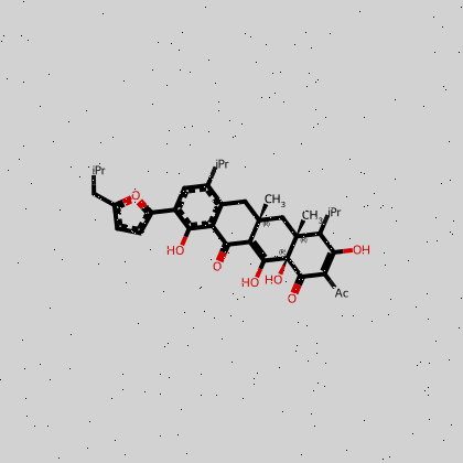 CC(=O)C1=C(O)C(C(C)C)[C@@]2(C)C[C@@]3(C)Cc4c(C(C)C)cc(-c5ccc(CC(C)C)o5)c(O)c4C(=O)C3=C(O)[C@@]2(O)C1=O